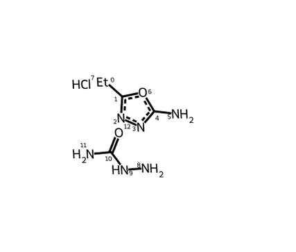 CCc1nnc(N)o1.Cl.NNC(N)=O